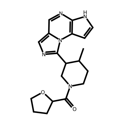 CC1CCN(C(=O)C2CCCO2)CC1c1ncc2cnc3[nH]ccc3n12